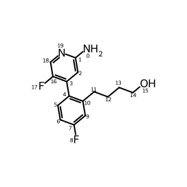 Nc1cc(-c2ccc(F)cc2CCCCO)c(F)cn1